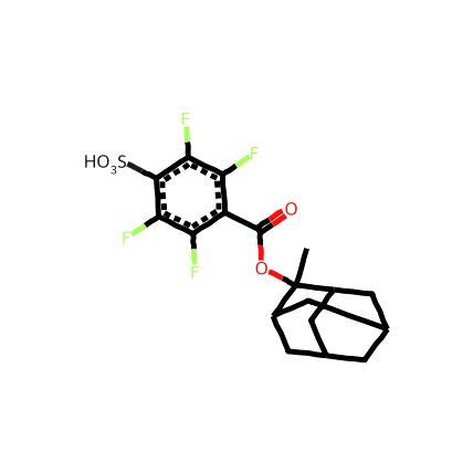 CC1(OC(=O)c2c(F)c(F)c(S(=O)(=O)O)c(F)c2F)C2CC3CC(C2)CC1C3